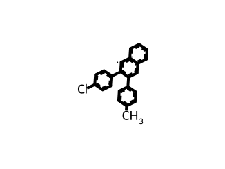 Cc1ccc(-c2cc3ccccc3[c]c2-c2ccc(Cl)cc2)cc1